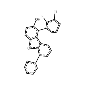 Oc1ccc2oc3c(-c4ccccc4)cccc3c2c1-c1cccc(Cl)c1F